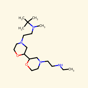 CCNCCN1CCOC(C2CN(CCN(C)C(C)(C)C)CCO2)C1